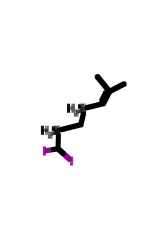 CC(C)=C[SiH2]C[SiH2]C(I)I